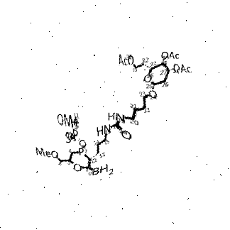 BC1OC(COC)C[P@](O[PH](=S)OC)[C@@H]1CCCNC(=O)NCCCCO[C@H]1C[C@@H](OC(C)=O)[C@@H](OC(C)=O)[C@@H](CCOC(C)=O)O1